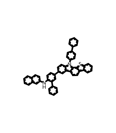 c1ccc(-c2ccc(-n3c4ccc(-c5ccc(Nc6ccc7ccccc7c6)c(-c6ccccc6)c5)cc4c4ccc5c6ccccc6sc5c43)cc2)cc1